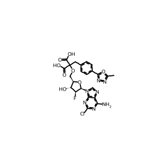 Cc1nnc(-c2ccc(CC(OC[C@H]3O[C@@H](n4cnc5c(N)nc(Cl)nc54)[C@@H](F)[C@@H]3O)(C(=O)O)C(=O)O)cc2)o1